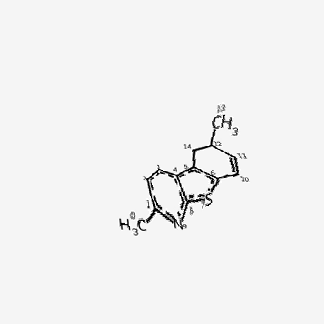 Cc1ccc2c3c(sc2n1)C=CC(C)C3